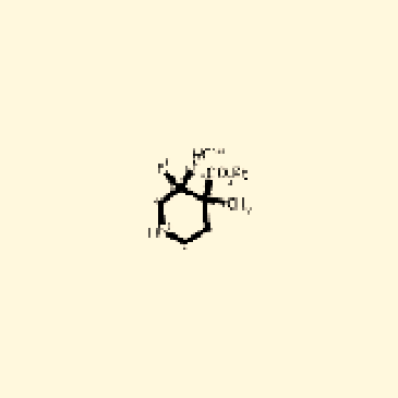 CCOC(=O)C1(C)CCNCC1(F)F.Cl